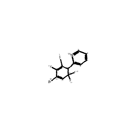 FC1=C(F)C(c2ccccn2)C(F)(F)C=C1Br